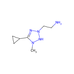 CN1NN(CCN)N=C1C1CC1